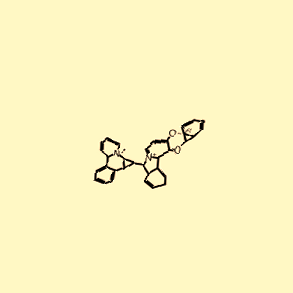 C[N+]12C=CC=CC1c1ccccc1C1C(C3C4C=CCCC4C4C5OC6C7C=CC=C[C@@]76OC5=CC=[N+]43)C12